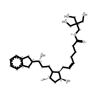 O=C(CCC/C=C\C[C@@H]1C(CC[C@@H](O)C2Cc3ccccc3C2)[C@@H](F)C[C@@H]1O)OCC(CO)(CO)CO